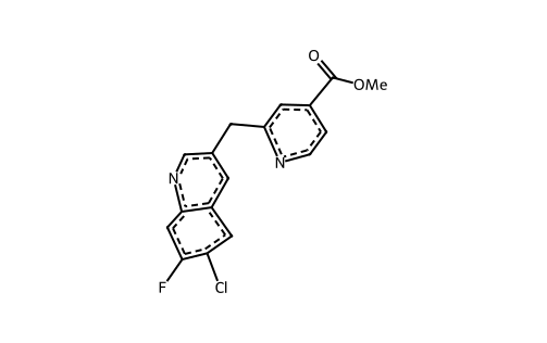 COC(=O)c1ccnc(Cc2cnc3cc(F)c(Cl)cc3c2)c1